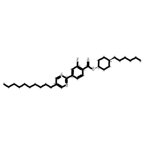 CCCCCCCCCCc1cnc(-c2ccc(C(=O)O[C@H]3CC[C@H](CCCCCC)CC3)c(F)c2)nc1